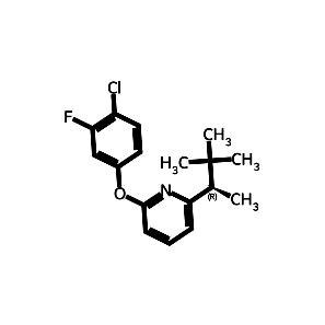 C[C@@H](c1cccc(Oc2ccc(Cl)c(F)c2)n1)C(C)(C)C